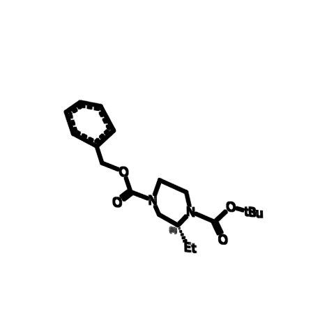 CC[C@@H]1CN(C(=O)OCc2ccccc2)CCN1C(=O)OC(C)(C)C